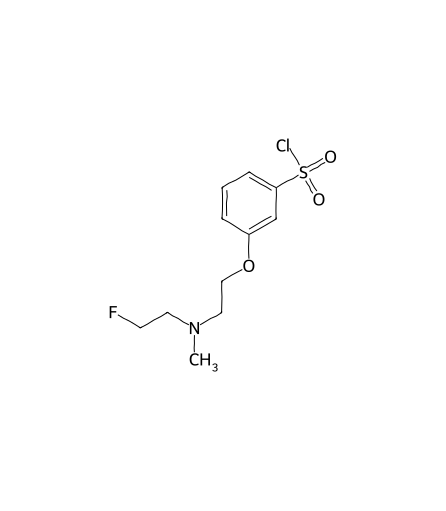 CN(CCF)CCOc1cccc(S(=O)(=O)Cl)c1